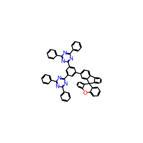 c1ccc(-c2nc(-c3ccccc3)nc(-c3cc(-c4ccc5c(c4)C4(c6ccccc6Oc6ccccc64)c4ccccc4-5)cc(-c4nc(-c5ccccc5)nc(-c5ccccc5)n4)c3)n2)cc1